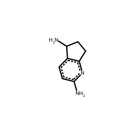 Nc1ccc2c(n1)CCC2N